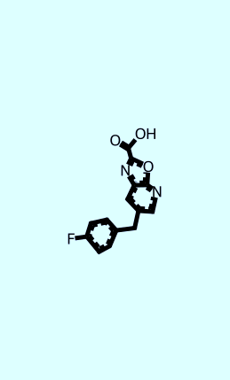 O=C(O)c1nc2cc(Cc3ccc(F)cc3)cnc2o1